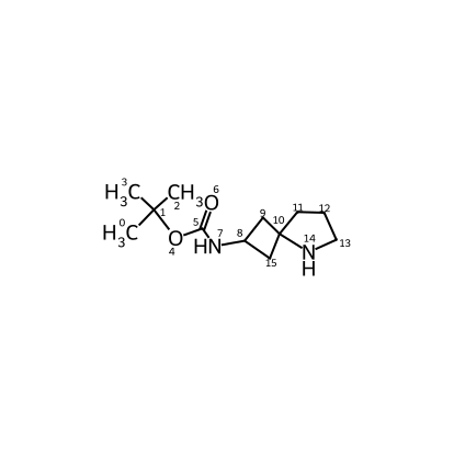 CC(C)(C)OC(=O)NC1CC2(CCCN2)C1